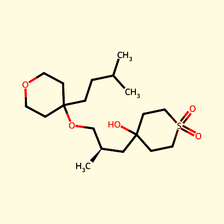 CC(C)CCC1(OC[C@H](C)CC2(O)CCS(=O)(=O)CC2)CCOCC1